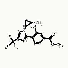 COC(=O)c1ccc(-c2nc(C(F)(F)F)cn2C2CC2)c(OC)c1